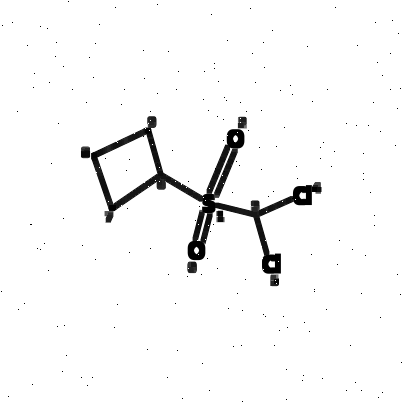 O=S(=O)(C(Cl)Cl)C1CCC1